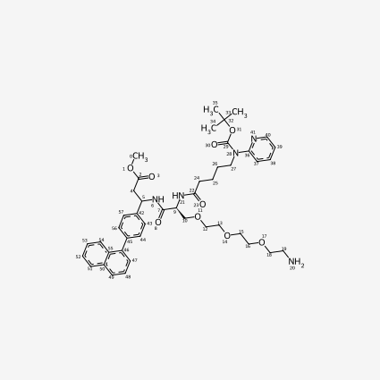 COC(=O)CC(NC(=O)[C@H](COCCOCCOCCN)NC(=O)CCCCN(C(=O)OC(C)(C)C)c1ccccn1)c1ccc(-c2cccc3ccccc23)cc1